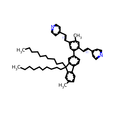 CCCCCCCCCCC1(CCCCCCCCCC)c2cc(C)ccc2-c2ccc(-c3cc(/C=C/c4ccncc4)c(C)cc3/C=C/c3ccncc3)cc21